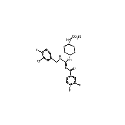 CCOC(=O)N[C@H]1CC[C@H](N/C(=N\C(=O)c2ccc(F)c(F)c2)NCc2ccc(F)c(Cl)c2)CC1